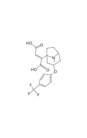 CN1C2CCC1(/C(=C\C(=O)O)C(=O)O)CC(Oc1ccc(C(F)(F)F)cc1)C2